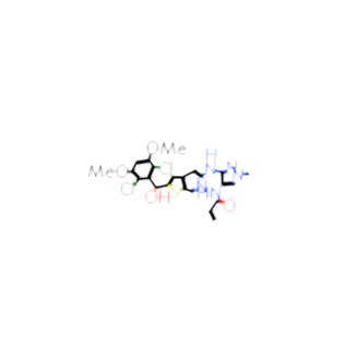 C=CC(=O)Nc1cn(C)nc1Nc1cc2cc(C(O)c3c(Cl)c(OC)cc(OC)c3Cl)sc2cn1